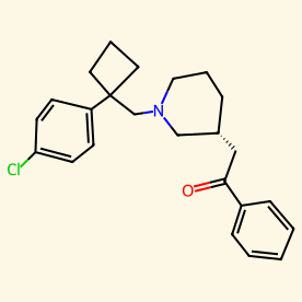 O=C(C[C@H]1CCCN(CC2(c3ccc(Cl)cc3)CCC2)C1)c1ccccc1